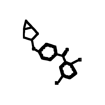 O=C(c1ccc(OC2CC3CC3C2)cc1)c1cc(Br)ccc1Cl